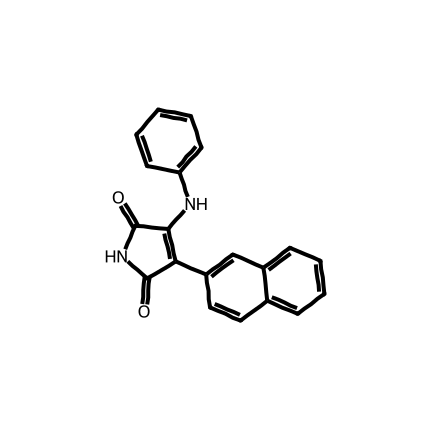 O=C1NC(=O)C(c2ccc3ccccc3c2)=C1Nc1ccccc1